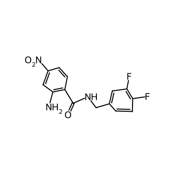 Nc1cc([N+](=O)[O-])ccc1C(=O)NCc1ccc(F)c(F)c1